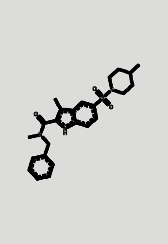 Cc1c(C(=O)N(C)Cc2ccccc2)[nH]c2ccc(S(=O)(=O)N3CCC(C)CC3)cc12